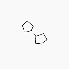 C1CN[C@H](C2CCNC2)C1